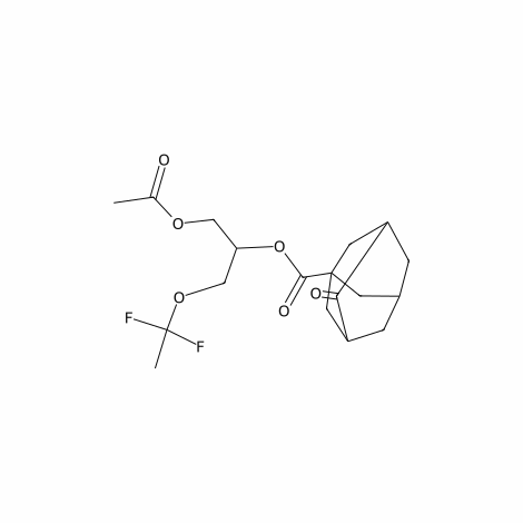 CC(=O)OCC(COC(C)(F)F)OC(=O)C12CC3CC(C1)C(=O)C(C3)C2